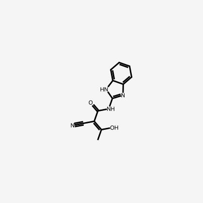 CC(O)=C(C#N)C(=O)Nc1nc2ccccc2[nH]1